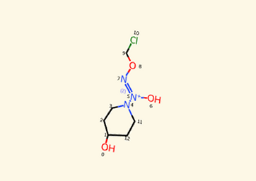 OC1CCN(/[N+](O)=N/OCCl)CC1